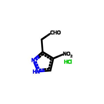 Cl.O=CCc1n[nH]cc1[N+](=O)[O-]